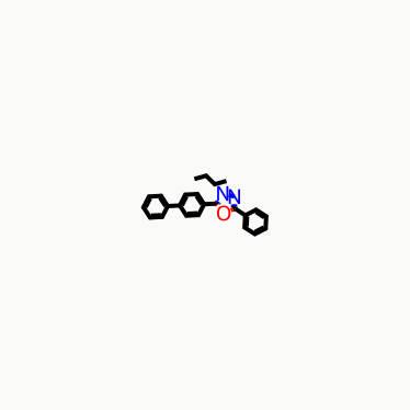 CCCC.c1ccc(-c2ccc(-c3nnc(-c4ccccc4)o3)cc2)cc1